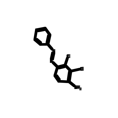 Nc1ccc(/N=N/c2ccccc2)c(Cl)c1Cl